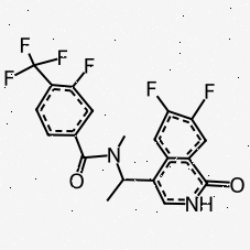 CC(c1c[nH]c(=O)c2cc(F)c(F)cc12)N(C)C(=O)c1ccc(C(F)(F)F)c(F)c1